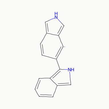 [c]1c(-c2[nH]cc3ccccc23)ccc2c[nH]cc12